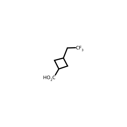 O=C(O)C1CC(CC(F)(F)F)C1